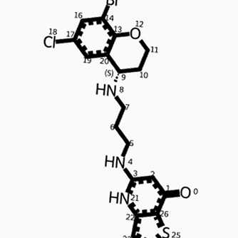 O=c1cc(NCCCN[C@H]2CCOc3c(Br)cc(Cl)cc32)[nH]c2ccsc12